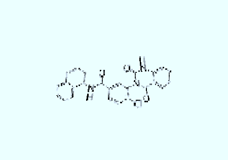 O=C(Nc1cccc2ccccc12)c1ccc(Cl)c(-n2c(=O)[nH]c3ccccc3c2=O)c1